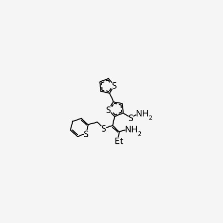 CC/C(N)=C(\SCC1=CCC=CS1)c1sc(-c2cccs2)cc1SN